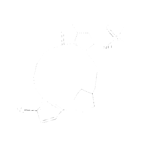 CC1C[C@H](NS(C)(=O)=O)C2COC3CCC(CC3)c3ccc(C#N)c(c3)OCCCOC(=O)N12